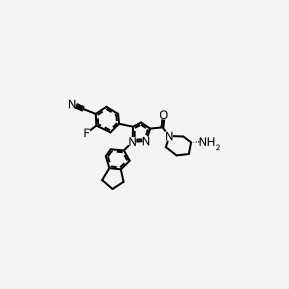 N#Cc1ccc(-c2cc(C(=O)N3CCC[C@@H](N)C3)nn2-c2ccc3c(c2)CCC3)cc1F